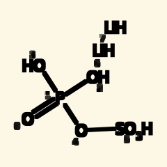 O=P(O)(O)OS(=O)(=O)O.[LiH].[LiH]